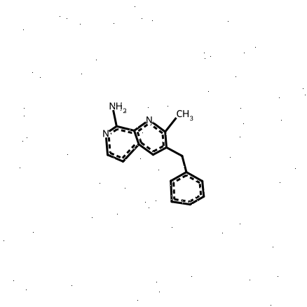 Cc1nc2c(N)nccc2cc1Cc1ccccc1